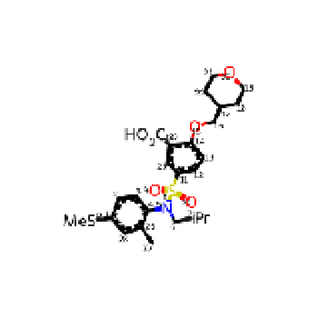 CSc1ccc(N(CC(C)C)S(=O)(=O)c2ccc(OCC3CCOCC3)c(C(=O)O)c2)c(C)c1